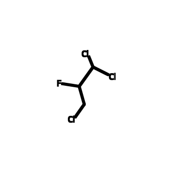 FC(CCl)C(Cl)Cl